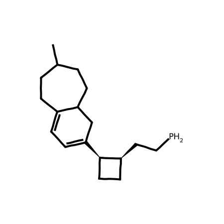 CC1CCC2=CC=C([C@@H]3CC[C@@H]3CCP)CC2CC1